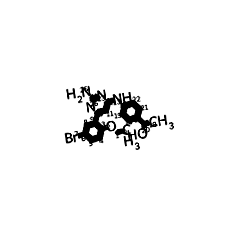 CCOc1ccc(Br)cc1-c1cc(Nc2ccc(C(C)O)cc2)nc(N)n1